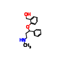 CNCCC(Oc1ccccc1CO)c1ccccc1